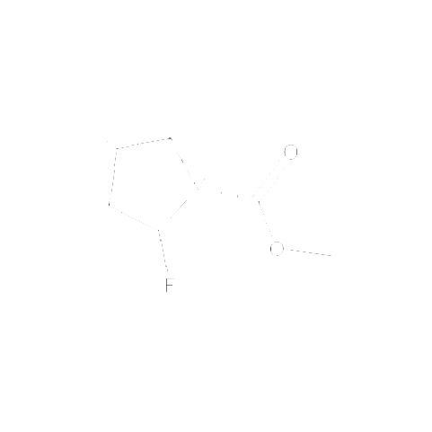 COC(=O)[C@H]1CCCC1F